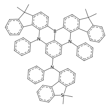 CC1(C)c2ccccc2-c2c1ccc1c2N(c2ccccc2)c2cc(N(c3ccccc3)c3cccc4c3-c3ccccc3[Si]4(C)C)cc3c2B1c1ccc2c(c1N3c1ccccc1)-c1ccccc1C2(C)C